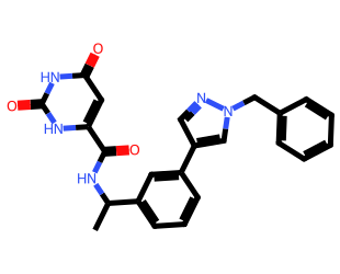 CC(NC(=O)c1cc(=O)[nH]c(=O)[nH]1)c1cccc(-c2cnn(Cc3ccccc3)c2)c1